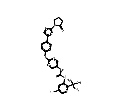 CC(C)(O)c1ncc(C(F)(F)F)cc1NC(=O)Nc1cnc(Oc2ccc(-c3cnc(N4CCCC4=O)s3)cc2)nc1